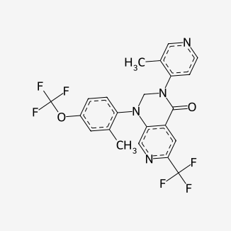 Cc1cnccc1N1CN(c2ccc(OC(F)(F)F)cc2C)c2cnc(C(F)(F)F)cc2C1=O